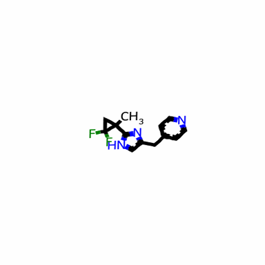 CC1(c2nc(Cc3ccncc3)c[nH]2)CC1(F)F